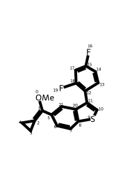 COC(=C1CC1)c1ccc2scc(-c3ccc(F)cc3F)c2c1